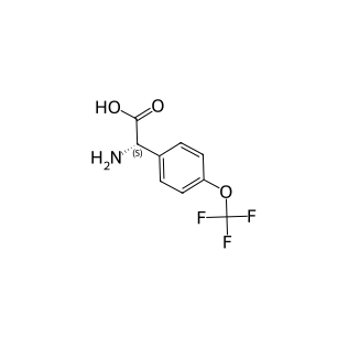 N[C@H](C(=O)O)c1ccc(OC(F)(F)F)cc1